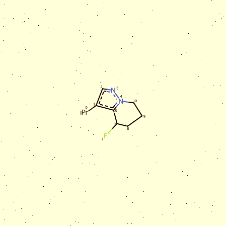 CC(C)c1cnn2c1C(F)CCC2